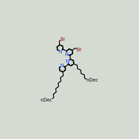 CCCCCCCCCCCCCCCCCCCc1ccnc(-c2cc(CCCCCCCCCCCCCCCC)cc(-c3cc(CBr)cc(-c4cc(CBr)ccn4)n3)n2)c1